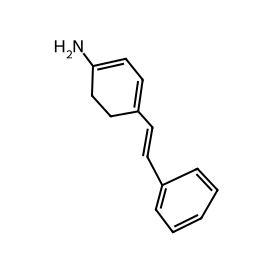 NC1=CC=C(/C=C/c2ccccc2)CC1